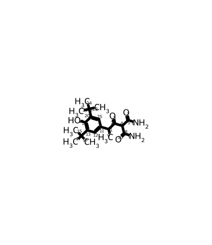 CC(C(=O)C(C(N)=O)C(N)=O)c1cc(C(C)(C)C)c(O)c(C(C)(C)C)c1